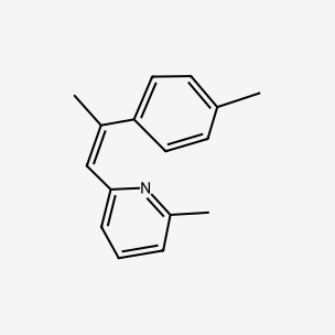 CC(=Cc1cccc(C)n1)c1ccc(C)cc1